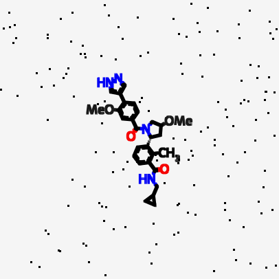 COc1cc(C(=O)N2CC(OC)C[C@@H]2c2cccc(C(=O)NCC3CC3)c2C)ccc1-c1cn[nH]c1